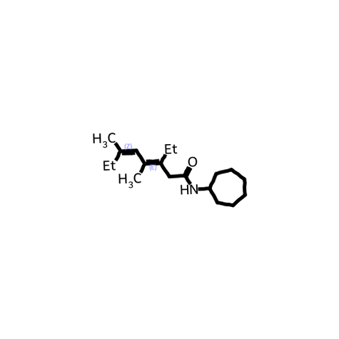 CC/C(C)=C\C(C)=C(/CC)CC(=O)NC1CCCCCC1